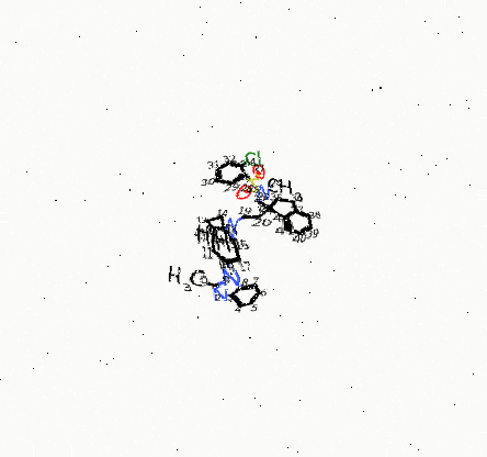 Cc1nc2ccccc2n1[C@@H]1C[C@@H]2CCC23[C@H](C1)N3CC[C@@]1(CN(C)S(=O)(=O)c2ccccc2Cl)CCc2ccccc21